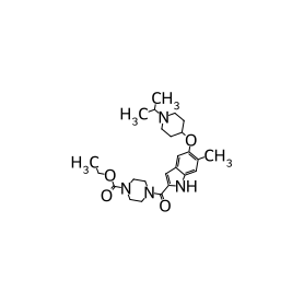 CCOC(=O)N1CCN(C(=O)c2cc3cc(OC4CCN(C(C)C)CC4)c(C)cc3[nH]2)CC1